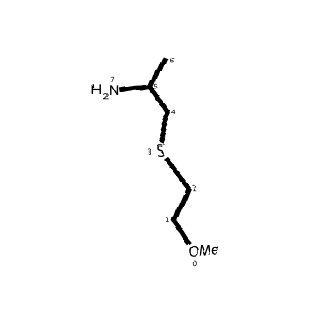 COCCSCC(C)N